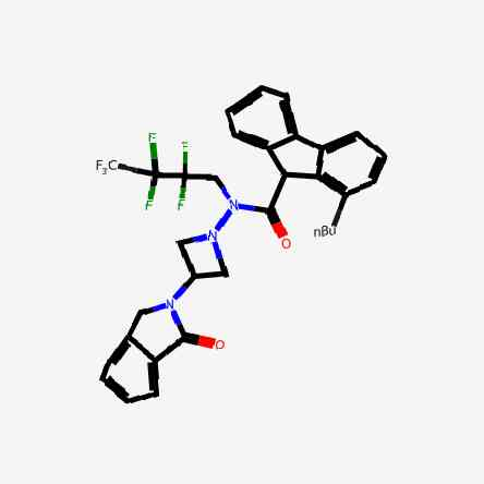 CCCCc1cccc2c1C(C(=O)N(CC(F)(F)C(F)(F)C(F)(F)F)N1CC(N3Cc4ccccc4C3=O)C1)c1ccccc1-2